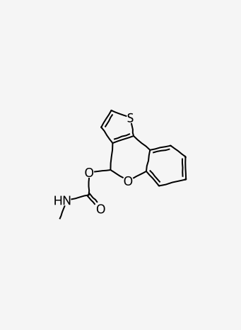 CNC(=O)OC1Oc2ccccc2-c2sccc21